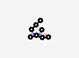 c1ccc(-c2ccc(-c3cccc(-n4c5ccccc5c5cc6c7ccc8c9ccccc9oc8c7n(-c7ccccc7)c6cc54)c3)cc2)cc1